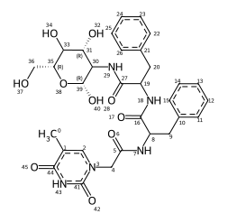 Cc1cn(CC(=O)NC(Cc2ccccc2)C(=O)NC(Cc2ccccc2)C(=O)NC2[C@@H](O)C(O)[C@@H](CO)O[C@H]2O)c(=O)[nH]c1=O